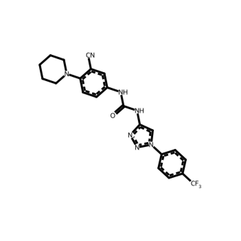 N#Cc1cc(NC(=O)Nc2cn(-c3ccc(C(F)(F)F)cc3)nn2)ccc1N1CCCCC1